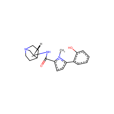 Cn1c(C(=O)N[C@H]2CN3CCC2CC3)ccc1-c1ccccc1O